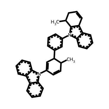 CC1CC=Cc2c1n(-c1cccc(C3C=C(n4c5ccccc5c5ccccc54)C=CC3C)c1)c1ccccc21